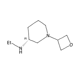 CCN[C@@H]1CCCN(C2COC2)C1